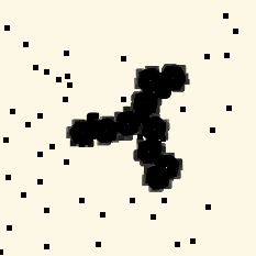 c1cc(-c2cccc(N(c3ccc(-c4ccc5c(c4)sc4ccccc45)cc3)c3ccc(-c4cccc5c4oc4ccccc45)cc3)c2)cc(-c2cccc3ccccc23)c1